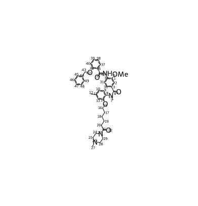 COc1cc(C(=O)N(C)c2ccc(C)cc2OCCCCCC(=O)N2CCN(C)CC2)ccc1NC(=O)c1ccccc1OCc1ccccc1